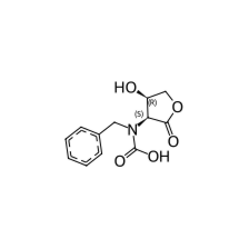 O=C1OC[C@H](O)[C@@H]1N(Cc1ccccc1)C(=O)O